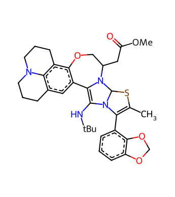 COC(=O)CC1COc2c(cc3c4c2CCCN4CCC3)C2=C(NC(C)(C)C)N3C(c4cccc5c4OCO5)=C(C)SC3N21